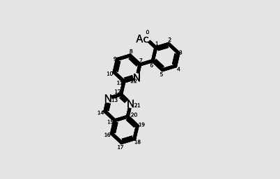 CC(=O)c1ccccc1-c1cccc(-c2ncc3ccccc3n2)n1